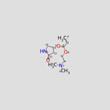 C=CC(=O)OCCN(C)C.O=C1CCCN1